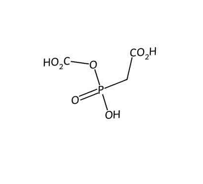 O=C(O)CP(=O)(O)OC(=O)O